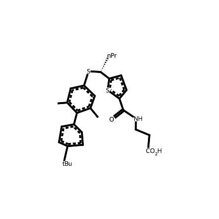 CCC[C@@H](Sc1cc(C)c(-c2ccc(C(C)(C)C)cc2)c(C)c1)c1ccc(C(=O)NCCC(=O)O)s1